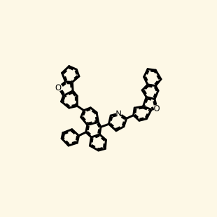 c1ccc(-c2c3ccccc3c(-c3ccc(-c4ccc5oc6cc7ccccc7cc6c5c4)nc3)c3ccc(-c4ccc5oc6ccccc6c5c4)cc23)cc1